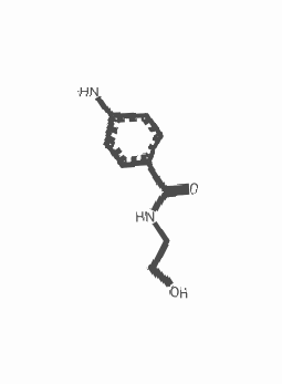 [NH]c1ccc(C(=O)NCCO)cc1